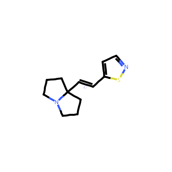 C(=C\C12CCCN1CCC2)/c1ccns1